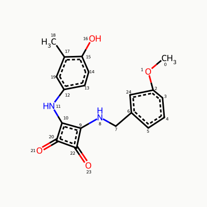 COc1cccc(CNc2c(Nc3ccc(O)c(C)c3)c(=O)c2=O)c1